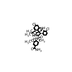 COc1cc(C(N)=O)ccc1NP(C)(=O)[C@@H]1N[C@@H](CC(C)(C)C)[C@@]2(CNc3cc(Cl)ccc32)[C@H]1c1cccc(Cl)c1F